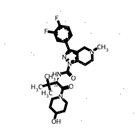 CN1CCc2c(c(-c3ccc(F)c(F)c3)nn2C(=O)N[C@H](C(=O)N2CCC(O)CC2)C(C)(C)C)C1